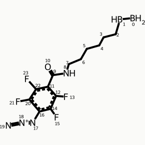 BBCCCCCCNC(=O)c1c(F)c(F)c(N=[N+]=[N-])c(F)c1F